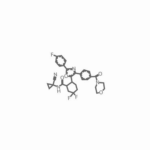 N#CC1(NC(=O)C2CC(F)(F)CCC2c2oc(-c3ccc(F)cc3)nc2-c2ccc(C(=O)N3CCOCC3)cc2)CC1